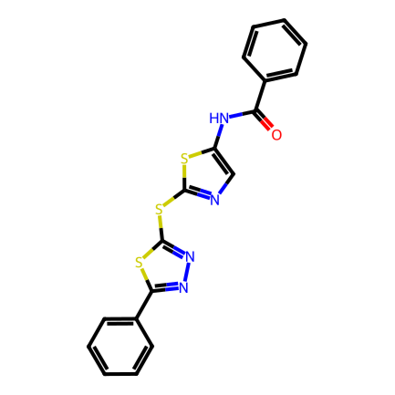 O=C(Nc1cnc(Sc2nnc(-c3ccccc3)s2)s1)c1ccccc1